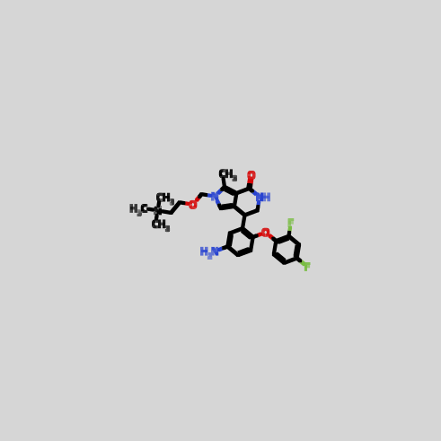 Cc1c2c(cn1COCC[Si](C)(C)C)C(c1cc(N)ccc1Oc1ccc(F)cc1F)CNC2=O